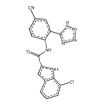 N#Cc1ccc(NC(=O)c2cc3cccc(Cl)c3[nH]2)c(-c2nnn[nH]2)c1